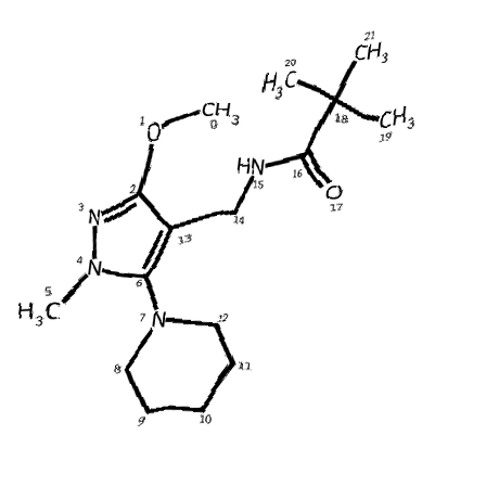 COc1nn(C)c(N2CCCCC2)c1CNC(=O)C(C)(C)C